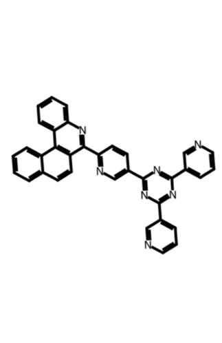 c1cncc(-c2nc(-c3cccnc3)nc(-c3ccc(-c4nc5ccccc5c5c4ccc4ccccc45)nc3)n2)c1